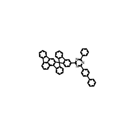 c1ccc(-c2ccc(-c3nc(-c4ccccc4)nc(-c4ccc5c(c4)-c4ccccc4C54c5ccccc5-c5c4cc4c6c(cccc56)-c5ccccc5-4)n3)cc2)cc1